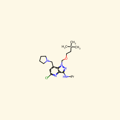 CC(C)Nc1nn(COCC[Si](C)(C)C)c2c(CN3CCCC3)cc(Cl)nc12